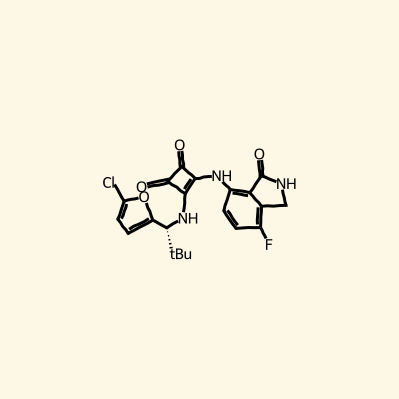 CC(C)(C)[C@@H](Nc1c(Nc2ccc(F)c3c2C(=O)NC3)c(=O)c1=O)c1ccc(Cl)o1